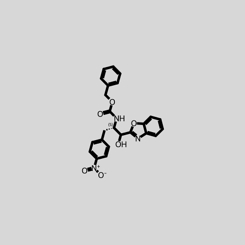 O=C(N[C@@H](Cc1ccc([N+](=O)[O-])cc1)C(O)c1nc2ccccc2o1)OCc1ccccc1